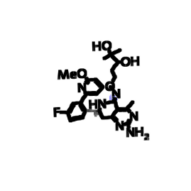 COc1cccc(-c2cc(F)ccc2[C@H]2Cc3nc(N)nc(C)c3/C(=N/OCCC(O)C(C)(C)O)N2)n1